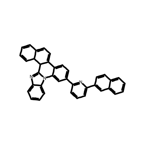 C1=CC2=CC=C3c4ccc(-c5cccc(-c6ccc7ccccc7c6)n5)cc4-n4c(nc5ccccc54)C3C2C=C1